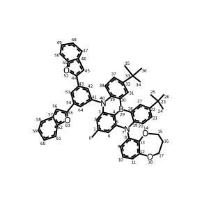 Cc1cc2c3c(c1)N(c1cccc4c1OCCCO4)c1ccc(C(C)(C)C)cc1B3c1cc(C(C)(C)C)ccc1N2c1cc(-c2cc3ccccc3o2)cc(-c2cc3ccccc3o2)c1